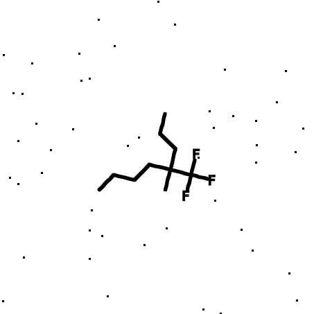 CCCCC(C)(CCC)C(F)(F)F